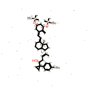 C=C1/C(=C\C=C2/CCC[C@]3(C)[C@@H](C(C)=CC[C@@H](O)C4(c5ccc(CCCC)cc5)CC4)CC[C@@H]23)C[C@@H](O[Si](C)(C)C(C)(C)C)C[C@@H]1O[Si](C)(C)C(C)(C)C